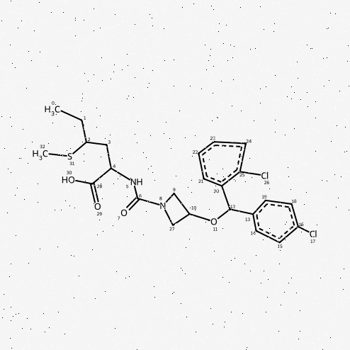 CCC(CC(NC(=O)N1CC(OC(c2ccc(Cl)cc2)c2ccccc2Cl)C1)C(=O)O)SC